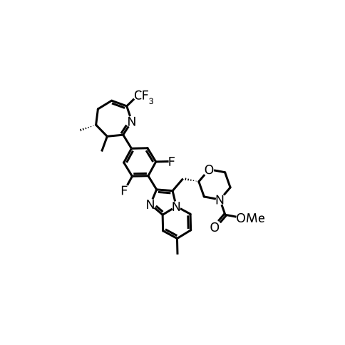 COC(=O)N1CCO[C@@H](Cc2c(-c3c(F)cc(C4=NC(C(F)(F)F)=CC[C@@H](C)C4C)cc3F)nc3cc(C)ccn23)C1